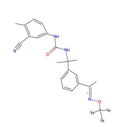 [2H]C([2H])([2H])O/N=C(\C)c1cccc(C(C)(C)NC(=O)Nc2ccc(C)c(C#N)c2)c1